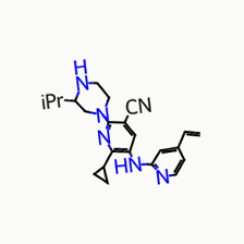 C=Cc1ccnc(Nc2cc(C#N)c(N3CCNC(C(C)C)C3)nc2C2CC2)c1